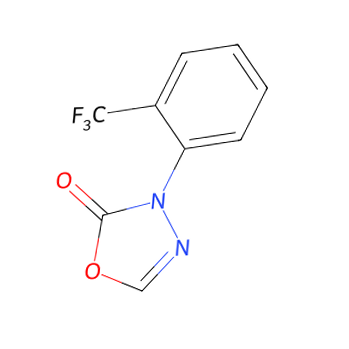 O=c1ocnn1-c1ccccc1C(F)(F)F